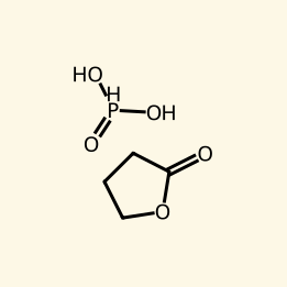 O=C1CCCO1.O=[PH](O)O